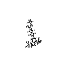 CNC(=O)c1csc2c(C(F)(F)F)cc(N3CC4(CN(C(=O)OC5COC5)C4)C3)nc12